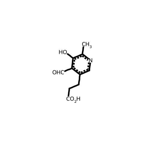 Cc1ncc(CCC(=O)O)c(C=O)c1O